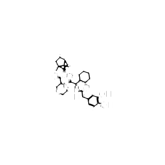 CC1(C)C2CCC1(C)C(OC(=O)C1CSCCN1C(=O)C(NC(=O)Cc1ccc(O)c(O)c1)C1CCCCC1)C2